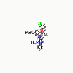 CCN(Cc1ccc(Cl)cc1)S(=O)(=O)c1ccc(OC)cc1/N=N/c1c(C)nn(-c2ccccc2)c1N